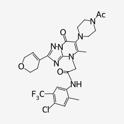 CC(=O)N1CCN(c2c(C)n(CC(=O)Nc3cc(C(F)(F)F)c(Cl)cc3C)c3nc(C4=CCOCC4)nn3c2=O)CC1